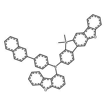 C[Si]1(C)c2cc(N(c3ccc(-c4ccc5ccccc5c4)cc3)c3cccc4oc5ccccc5c34)ccc2-c2cc3oc4ccccc4c3cc21